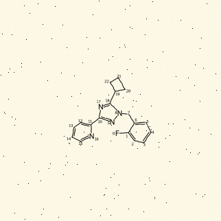 Fc1ccccc1Cn1nc(-c2ccccn2)nc1C1CCC1